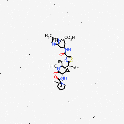 CC(=O)O[C@H](C[C@H](C(C)C)N(C)C(=O)[C@@H](NC(=O)[C@H]1CC2CCN1CC2)C1CC1)c1nc(C(=O)N[C@@H](Cc2ncc(C)cn2)C[C@H](C)C(=O)O)cs1